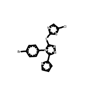 Clc1cnc(Sc2nnc(-c3cccs3)n2-c2ccc(Br)cc2)s1